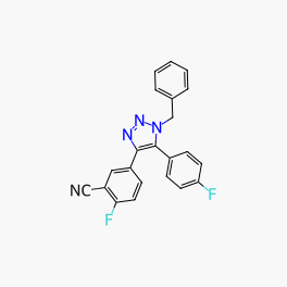 N#Cc1cc(-c2nnn(Cc3ccccc3)c2-c2ccc(F)cc2)ccc1F